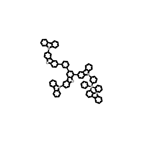 c1ccc([Si](c2ccccc2)(c2cccc(-n3c4ccccc4c4cc(-c5cc(-c6cccc(-c7ccc8oc9ccc(-n%10c%11ccccc%11c%11ccccc%11%10)cc9c8c7)c6)cc6c5oc5ccc(-n7c8ccccc8c8ccccc87)cc56)ccc43)c2)c2cccc3c2sc2ccccc23)cc1